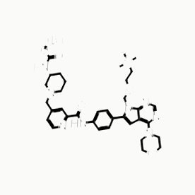 CC(C)(C)OC(=O)N[C@@H]1CCCN(Cc2ccnc(C(=O)Nc3ccc(-c4cc5c(N6CCOCC6)ncnc5n4COCC[Si](C)(C)C)cc3)c2)C1